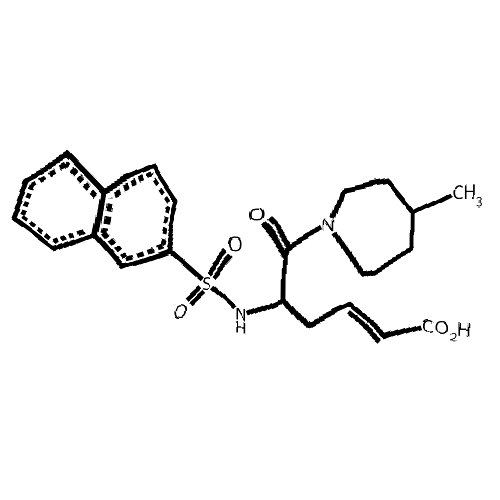 CC1CCN(C(=O)C(CC=CC(=O)O)NS(=O)(=O)c2ccc3ccccc3c2)CC1